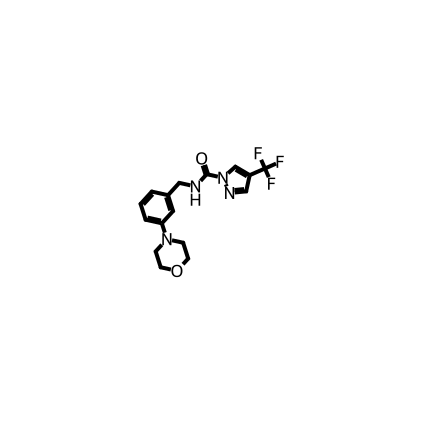 O=C(NCc1cccc(N2CCOCC2)c1)n1cc(C(F)(F)F)cn1